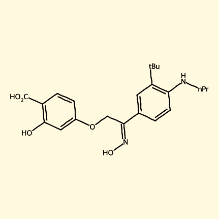 CCCNc1ccc(C(COc2ccc(C(=O)O)c(O)c2)=NO)cc1C(C)(C)C